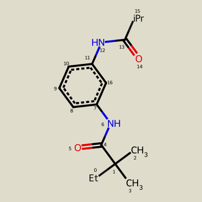 CCC(C)(C)C(=O)Nc1cccc(NC(=O)C(C)C)c1